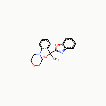 CC(O)(c1nc2ccccc2o1)c1ccccc1N1CCOCC1